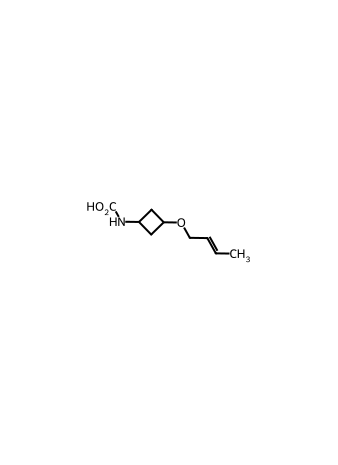 CC=CCOC1CC(NC(=O)O)C1